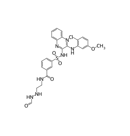 COc1ccc(Cl)c(Nc2nc3ccccc3nc2NS(=O)(=O)c2cccc(C(=O)NCCNNC=O)c2)c1